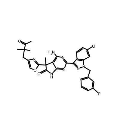 CC(=O)C(C)(C)Cc1coc(C2(C)C(=O)Nc3nc(-c4nn(Cc5cccc(F)c5)c5cc(Cl)ccc45)nc(N)c32)n1